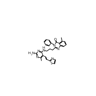 Cc1nc(N)nc(NCCCc2nc3cccc(C)c3c(=O)n2-c2ccccc2)c1/C=C/c1nccs1